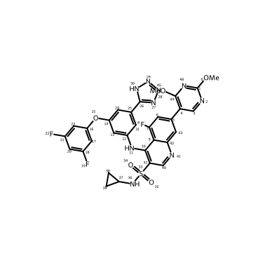 COc1ncc(-c2cc(F)c3c(Nc4cc(Oc5cc(F)cc(F)c5)cc(-c5nnn[nH]5)c4)c(S(=O)(=O)NC4CC4)cnc3c2)c(OC)n1